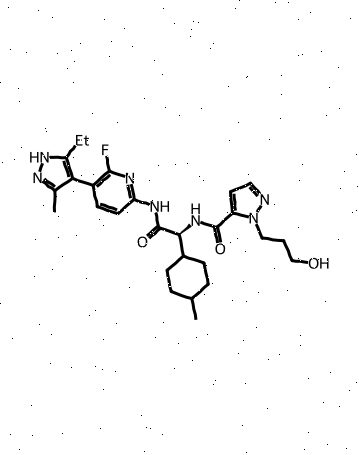 CCc1[nH]nc(C)c1-c1ccc(NC(=O)[C@@H](NC(=O)c2ccnn2CCCO)C2CCC(C)CC2)nc1F